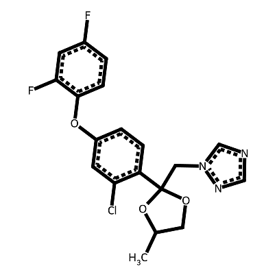 CC1COC(Cn2cncn2)(c2ccc(Oc3ccc(F)cc3F)cc2Cl)O1